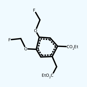 CCOC(=O)Cc1cc(OCF)c(OCF)cc1C(=O)OCC